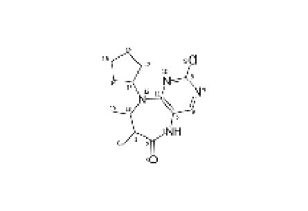 CC1C(=O)Nc2cnc(Cl)nc2N(C2CCCC2)C1C